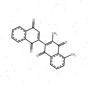 CC1=C(C2=CC(=O)c3ccccc3C2=O)C(=O)c2cccc(C)c2C1=O